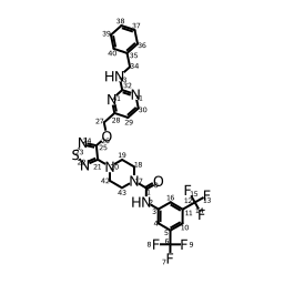 O=C(Nc1cc(C(F)(F)F)cc(C(F)(F)F)c1)N1CCN(c2nsnc2OCc2ccnc(NCc3ccccc3)n2)CC1